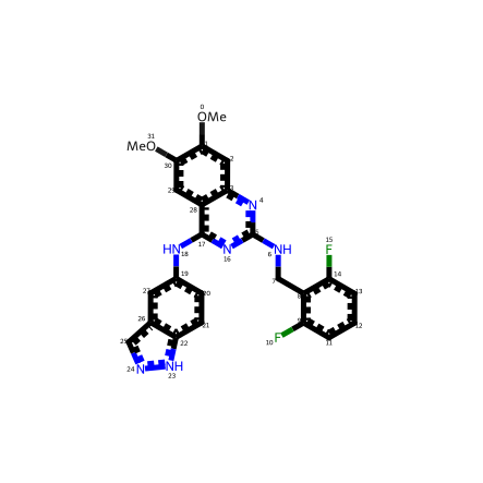 COc1cc2nc(NCc3c(F)cccc3F)nc(Nc3ccc4[nH]ncc4c3)c2cc1OC